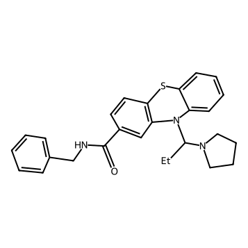 CCC(N1CCCC1)N1c2ccccc2Sc2ccc(C(=O)NCc3ccccc3)cc21